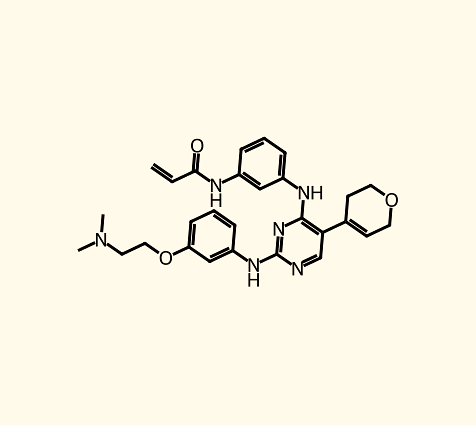 C=CC(=O)Nc1cccc(Nc2nc(Nc3cccc(OCCN(C)C)c3)ncc2C2=CCOCC2)c1